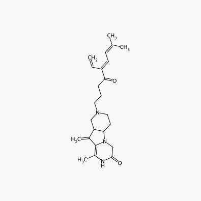 C=C/C(=C\C=C(C)C)C(=O)CCCN1CCC2C(C1)C(=C)C1=C(C)NC(=O)CN12